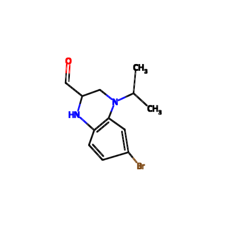 CC(C)N1CC(C=O)Nc2ccc(Br)cc21